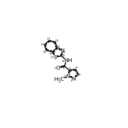 Cn1nccc1C(=O)Nc1nc2ccccc2s1